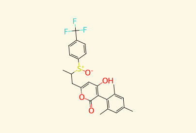 Cc1cc(C)c(-c2c(O)cc(CC(C)[S+]([O-])c3ccc(C(F)(F)F)cc3)oc2=O)c(C)c1